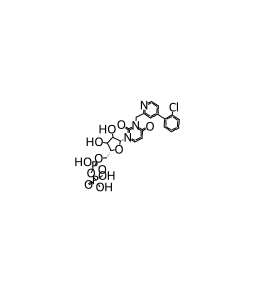 O=c1ccn([C@@H]2O[C@H](COP(=O)(O)OP(=O)(O)O)C(O)C2O)c(=O)n1Cc1cc(-c2ccccc2Cl)ccn1